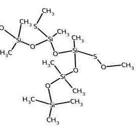 COS[Si](C)(O[Si](C)(C)O[Si](C)(C)C)O[Si](C)(O[Si](C)(C)O)SC